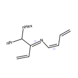 C=C/C=C\N=C(/C=C)C(CCC)CCCCCC